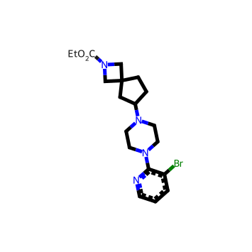 CCOC(=O)N1CC2(CCC(N3CCN(c4ncccc4Br)CC3)C2)C1